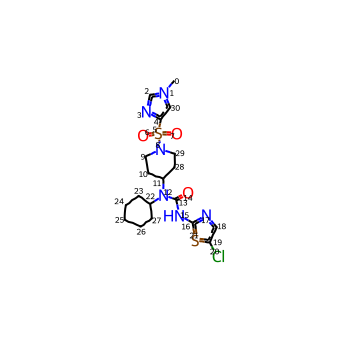 Cn1cnc(S(=O)(=O)N2CCC(N(C(=O)Nc3ncc(Cl)s3)C3CCCCC3)CC2)c1